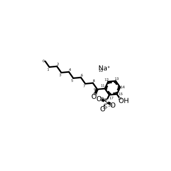 CCCCCCCCCC(=O)c1cccc(O)c1S(=O)(=O)[O-].[Na+]